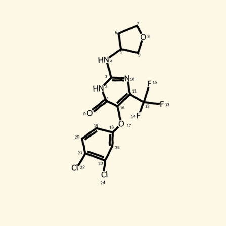 O=c1[nH]c(NC2CCOC2)nc(C(F)(F)F)c1Oc1ccc(Cl)c(Cl)c1